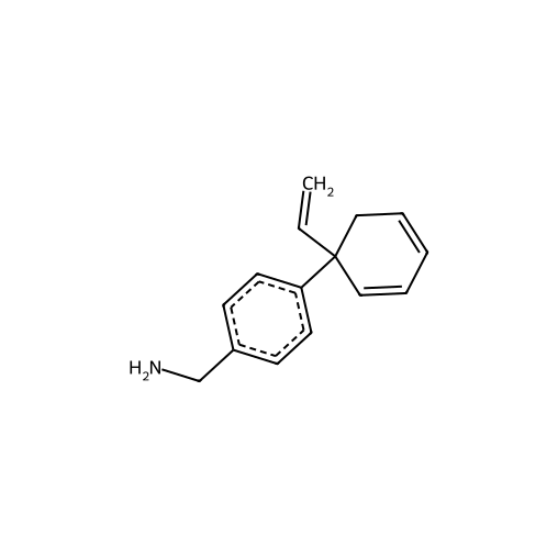 C=CC1(c2ccc(CN)cc2)C=CC=CC1